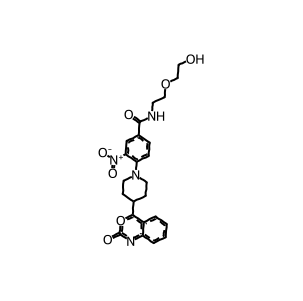 O=C(NCCOCCO)c1ccc(N2CCC(c3oc(=O)nc4ccccc34)CC2)c([N+](=O)[O-])c1